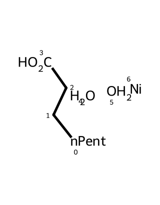 CCCCCCCC(=O)O.O.O.[Ni]